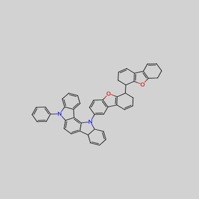 C1=CC2c3ccc4c(c3N(c3ccc5oc6c(c5c3)C=CCC6C3CC=Cc5c3oc3c5C=CCC3)C2C=C1)c1ccccc1n4-c1ccccc1